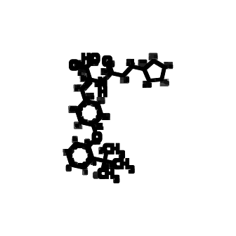 CC(C)(C)c1ccccc1Oc1ccc(C=C(NC(=O)CCC2CCCC2)C(=O)O)cc1